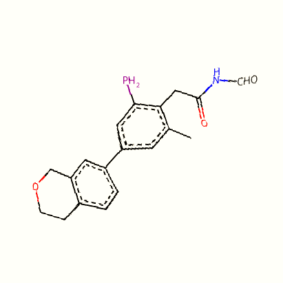 Cc1cc(-c2ccc3c(c2)COCC3)cc(P)c1CC(=O)NC=O